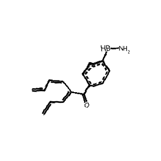 C=C/C=C\C(=C/C=C)C(=O)c1ccc(BN)cc1